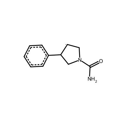 NC(=O)N1C[CH]C(c2ccccc2)C1